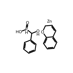 C1=Cc2ccccc2OC1.O=[PH](O)C(O)c1ccccc1.[Zn]